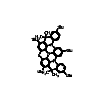 CC(C)(C)c1cc2c3c(c1)N1c4ccc(C(C)(C)C)cc4C(C)(C)c4c(C(C)(C)C)cc5c(c41)B3c1c(cc(C(C)(C)C)c3c1N2c1ccc(C(C)(C)C)cc1C3(C)C)S5